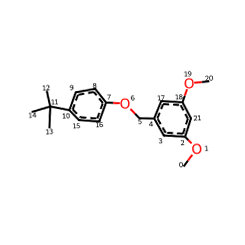 COc1cc(COc2ccc(C(C)(C)C)cc2)cc(OC)c1